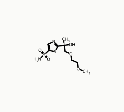 COCCOC[C@@](C)(O)c1ncc(S(N)(=O)=O)s1